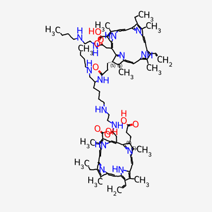 C=Cc1c(C)c2cc3nc(c(CC(=O)NCCNCCCCC(CNCCCC)NC(=O)CC[C@@H]4c5nc(cc6[nH]c(cc7nc(cc8[nH]c(c5CC(=O)NCCNCCCC)c(C(=O)O)c8C)C(CC)=C7C)c(C=C)c6C)[C@H]4C)c4[nH]c(cc5nc(cc1[nH]2)C(C)=C5CC)c(C)c4C(=O)O)[C@@H](CCC(=O)O)[C@@H]3C